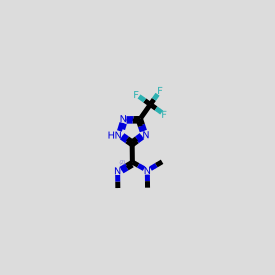 C/N=C(/c1nc(C(F)(F)F)n[nH]1)N(C)C